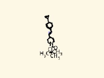 CC(C)(C)OC(=O)N1CCC(/C=C/c2ccc(C3CC3)cc2)CC1